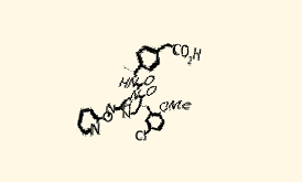 COc1ccc(Cl)cc1C[C@@H]1CN/C(=N\Oc2ccccn2)CN(C(=O)N[C@H](C)c2ccc(CC(=O)O)cc2)C1=O